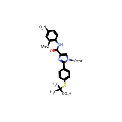 CCCCCn1cc(C(=O)Nc2ccc([N+](=O)[O-])cc2OC)nc1-c1ccc(SC(C)(C)C(=O)O)cc1